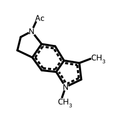 CC(=O)N1CCc2cc3c(cc21)c(C)cn3C